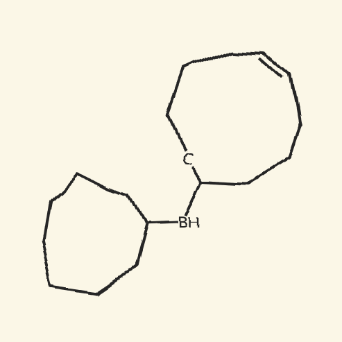 B(C1CCC/C=C\CCCC1)C1CCCCCCC1